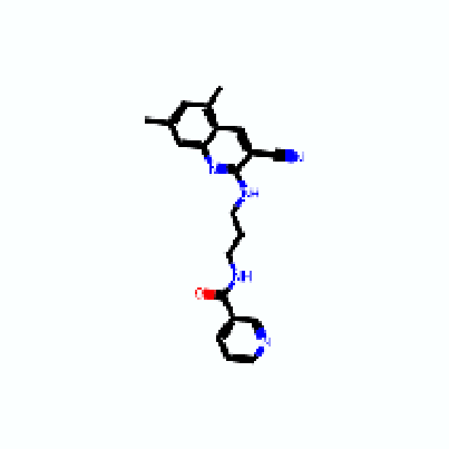 Cc1cc(C)c2cc(C#N)c(NCCCNC(=O)c3cccnc3)nc2c1